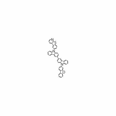 c1ccc2c(c1)oc1cc(-n3c4ccccc4c4cc(-c5ccc6c(c5)c5ccccc5n6-c5ccc6sc7ncccc7c6c5)ccc43)ccc12